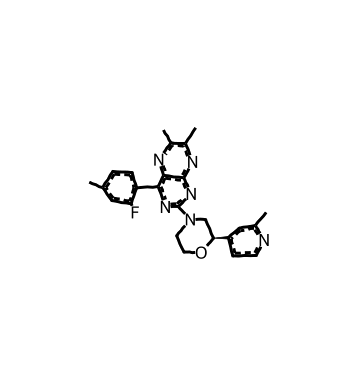 Cc1ccc(-c2nc(N3CCO[C@H](c4ccnc(C)c4)C3)nc3nc(C)c(C)nc23)c(F)c1